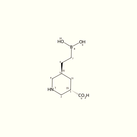 O=C(O)[C@@H]1CNC[C@@H](CCB(O)O)C1